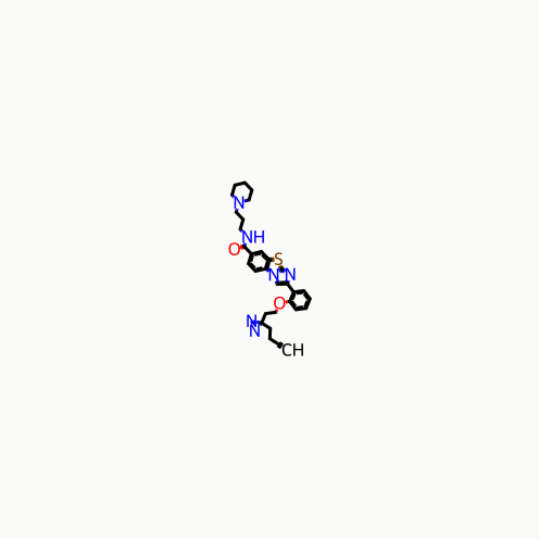 C#CCCC1(CCOc2ccccc2-c2cn3c(n2)sc2cc(C(=O)NCCCN4CCCCC4)ccc23)N=N1